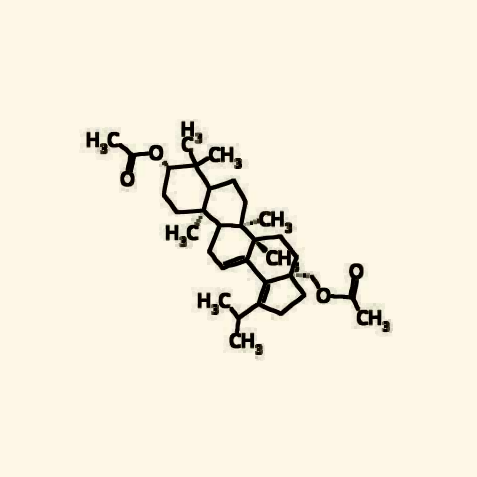 CC(=O)OC[C@]12CCC(C(C)C)=C1C1=CCC3[C@@]4(C)CC[C@H](OC(C)=O)C(C)(C)C4CC[C@@]3(C)[C@]1(C)CC2